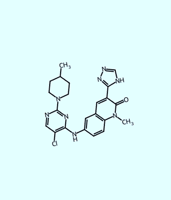 CC1CCN(c2ncc(Cl)c(Nc3ccc4c(c3)cc(-c3nnc[nH]3)c(=O)n4C)n2)CC1